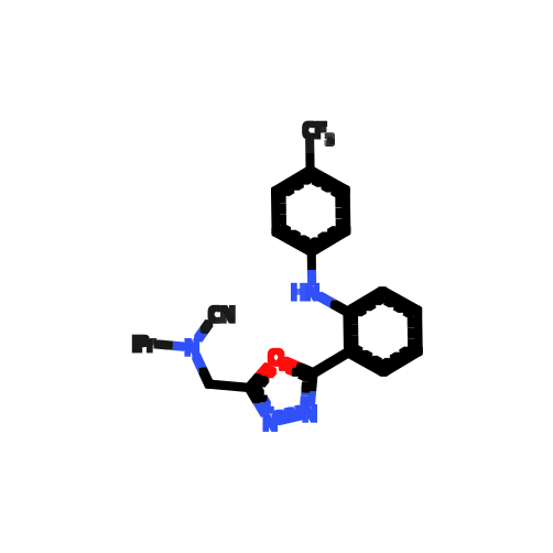 CC(C)N(C#N)Cc1nnc(-c2ccccc2Nc2ccc(C(F)(F)F)cc2)o1